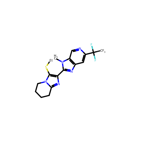 CCSc1c(-c2nc3cc(C(F)(F)C(F)(F)F)ncc3n2C)nc2n1CCCC2